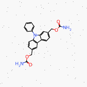 NC(=O)OCc1ccc2c(c1)c1ccc(COC(N)=O)cc1n2-c1ccccc1